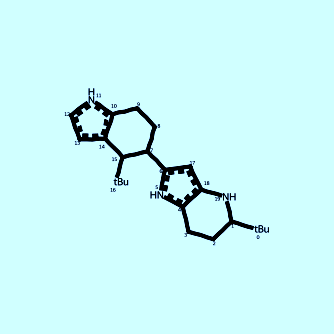 CC(C)(C)C1CCc2[nH]c(C3CCc4[nH]ccc4C3C(C)(C)C)cc2N1